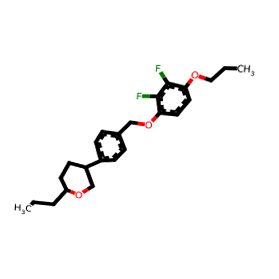 CCCOc1ccc(OCc2ccc(C3CCC(CCC)OC3)cc2)c(F)c1F